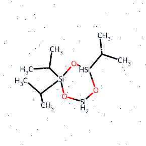 CC(C)[SiH]1O[SiH2]O[Si](C(C)C)(C(C)C)O1